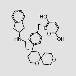 Fc1ccc([C@]2(CCNC3Cc4ccccc4C3)CCOC3(CCOCC3)C2)nc1.O=C(O)/C=C\C(=O)O